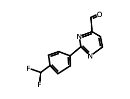 O=Cc1ccnc(-c2ccc(C(F)F)cc2)n1